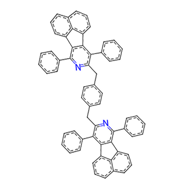 c1ccc(-c2nc(Cc3ccc(Cc4nc(-c5ccccc5)c5c(c4-c4ccccc4)-c4cccc6cccc-5c46)cc3)c(-c3ccccc3)c3c2-c2cccc4cccc-3c24)cc1